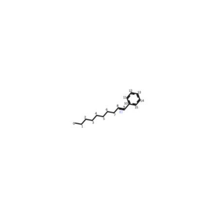 CCCCCCCC/C=C/c1ccccc1